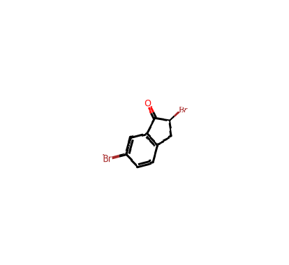 O=C1c2cc(Br)ccc2CC1Br